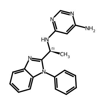 C[C@H](Nc1cc(N)ncn1)c1nc2ccccc2n1-c1ccccc1